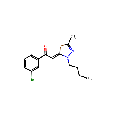 CCCCN1N=C(C)SC1=CC(=O)c1cccc(Br)c1